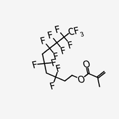 C=C(C)C(=O)OCCC(F)(F)CC(F)(F)CC(F)(F)C(F)(F)C(F)(F)C(F)(F)F